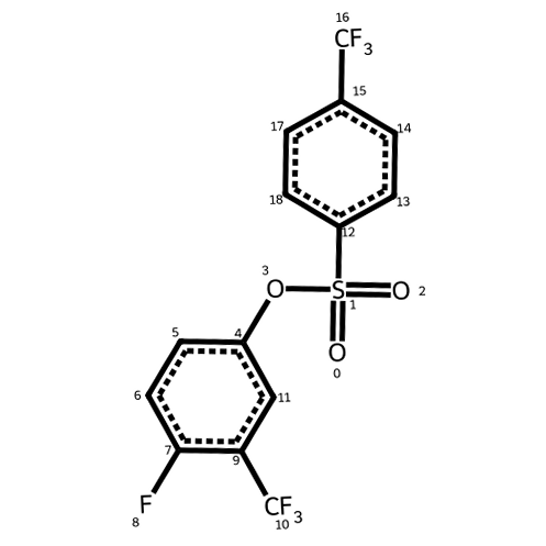 O=S(=O)(Oc1ccc(F)c(C(F)(F)F)c1)c1ccc(C(F)(F)F)cc1